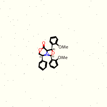 COc1ccccc1[C@H]1O[C@@H](c2ccccc2OC)N2C1C(=O)OC[C@@H]2c1ccccc1